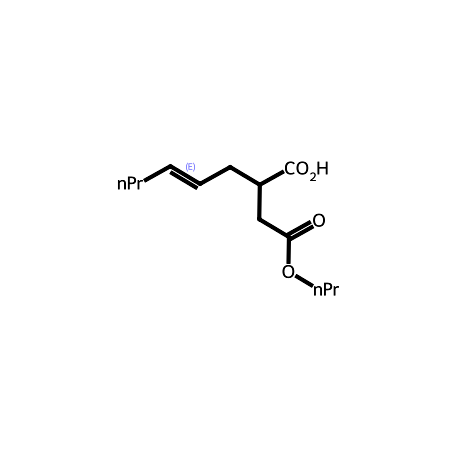 CCC/C=C/CC(CC(=O)OCCC)C(=O)O